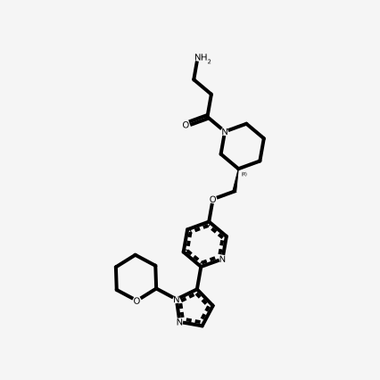 NCCC(=O)N1CCC[C@@H](COc2ccc(-c3ccnn3C3CCCCO3)nc2)C1